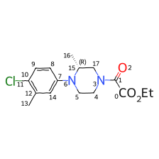 CCOC(=O)C(=O)N1CCN(c2ccc(Cl)c(C)c2)[C@H](C)C1